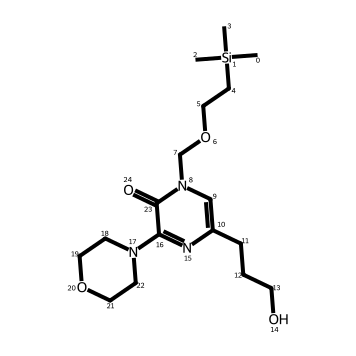 C[Si](C)(C)CCOCn1cc(CCCO)nc(N2CCOCC2)c1=O